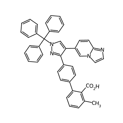 Cc1cccc(-c2ccc(-c3nn(C(c4ccccc4)(c4ccccc4)c4ccccc4)cc3-c3ccc4nccn4c3)cc2)c1C(=O)O